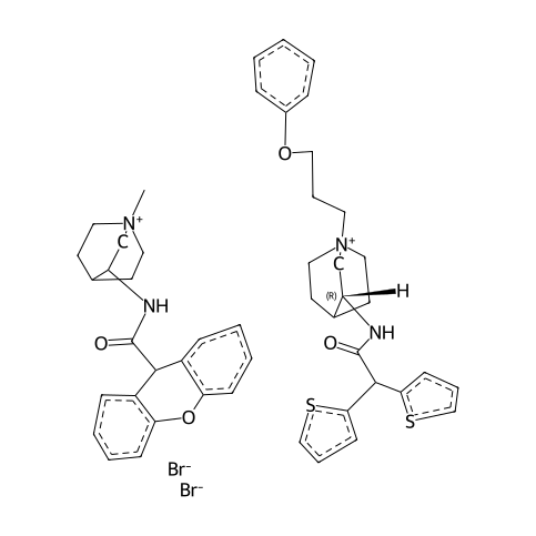 C[N+]12CCC(CC1)C(NC(=O)C1c3ccccc3Oc3ccccc31)C2.O=C(N[C@H]1C[N+]2(CCCOc3ccccc3)CCC1CC2)C(c1cccs1)c1cccs1.[Br-].[Br-]